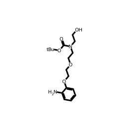 CC(C)(C)OC(=O)N(CCO)CCOCCOc1ccccc1N